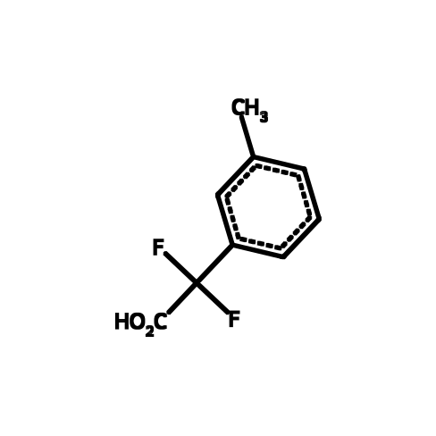 Cc1cccc(C(F)(F)C(=O)O)c1